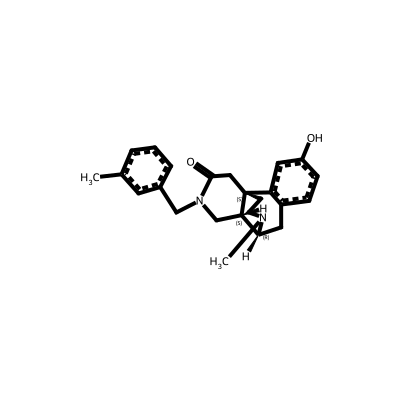 Cc1cccc(CN2C[C@H]3[C@H]4Cc5ccc(O)cc5[C@@]3(CCN4C)CC2=O)c1